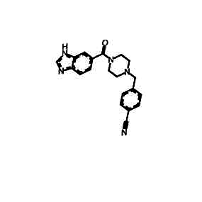 N#Cc1ccc(CN2CCN(C(=O)c3ccc4nc[nH]c4c3)CC2)cc1